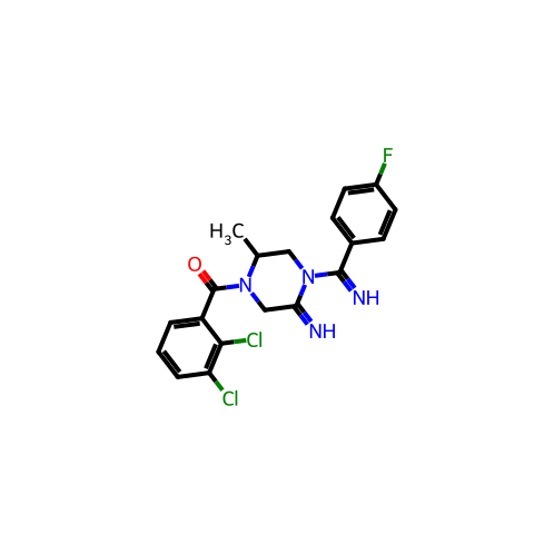 CC1CN(C(=N)c2ccc(F)cc2)C(=N)CN1C(=O)c1cccc(Cl)c1Cl